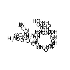 Cc1ccc(N(C(=O)c2ccc(-c3ccc(C[C@H]4NC(=O)C(CCN)NC(=O)[C@@H](NC(=O)CNC(=O)[C@@H](N)[C@@H](C)O)CCNC(=O)[C@@H]([C@@H](C)O)NC(=O)CNC(=O)CNC(=O)CNC4=O)cc3)cc2)c2nccc(N(C)c3ccc4c(C)n(C)nc4c3)n2)cc1S(N)(=O)=O